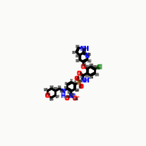 O=C(NS(=O)(=O)c1ccc(NCC2CCOCC2)c([N+](=O)[O-])c1)c1ccc(Cl)cc1Oc1cnc2[nH]ccc2c1